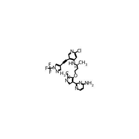 C[C@@H](CCOc1c(-c2nccc(N)n2)cnn1C)Nc1cc(Cl)ncc1C#Cc1cnn(C(F)(F)F)c1